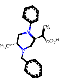 C=C(C(=O)O)[C@H]1CN(Cc2ccccc2)[C@H](C)CN1c1ccccc1